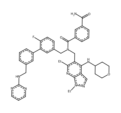 CCc1nc2c(cnn2CC)c(NC2CCOCC2)c1CN(Cc1ccc(F)c(-c2cccc(CNc3ncccn3)c2)c1)C(=O)c1cccc(C(N)=O)c1